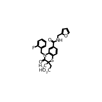 CC1(CC(=O)O)Sc2ccc(C(=O)NCc3ccco3)cc2N(Cc2ccccc2F)C1=O